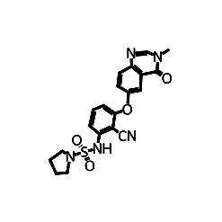 Cn1cnc2ccc(Oc3cccc(NS(=O)(=O)N4CCCC4)c3C#N)cc2c1=O